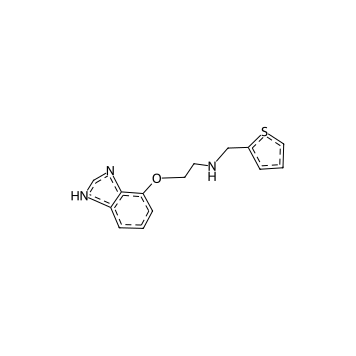 c1csc(CNCCOc2cccc3[nH]cnc23)c1